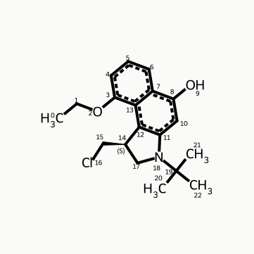 CCOc1cccc2c(O)cc3c(c12)[C@H](CCl)CN3C(C)(C)C